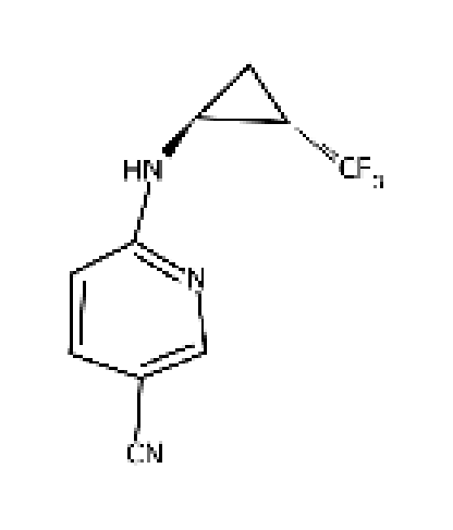 N#Cc1ccc(N[C@H]2C[C@@H]2C(F)(F)F)nc1